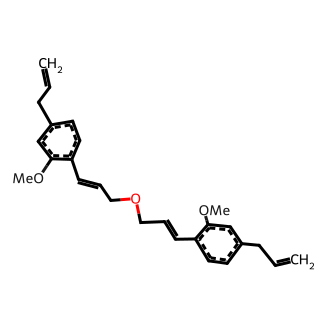 C=CCc1ccc(C=CCOCC=Cc2ccc(CC=C)cc2OC)c(OC)c1